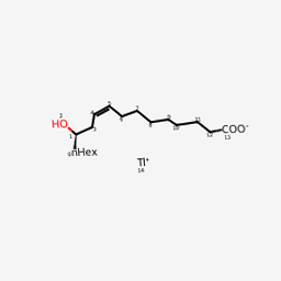 CCCCCC[C@@H](O)C/C=C\CCCCCCCC(=O)[O-].[Tl+]